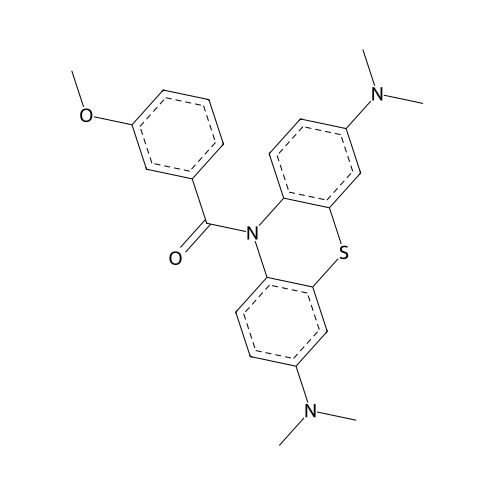 COc1cccc(C(=O)N2c3ccc(N(C)C)cc3Sc3cc(N(C)C)ccc32)c1